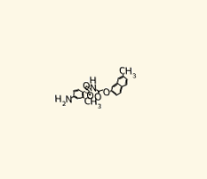 Cc1ccc2ccc(OCC(=O)NS(=O)(=O)c3ccc(N)cc3C)cc2c1